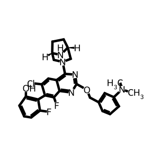 CN(C)c1cccc(COc2nc(N3C[C@H]4CC[C@@H](C3)N4)c3cc(Cl)c(-c4c(O)cccc4F)c(F)c3n2)c1